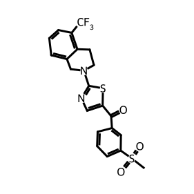 CS(=O)(=O)c1cccc(C(=O)c2cnc(N3CCc4c(cccc4C(F)(F)F)C3)s2)c1